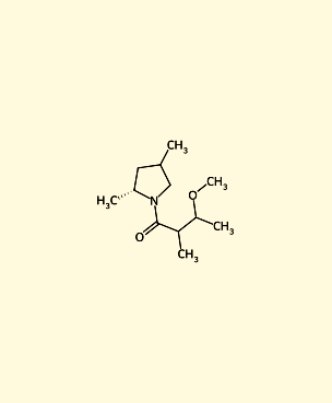 COC(C)C(C)C(=O)N1CC(C)C[C@H]1C